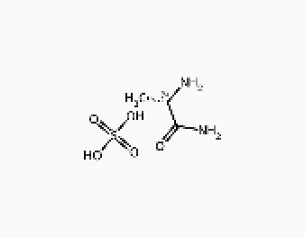 C[C@H](N)C(N)=O.O=S(=O)(O)O